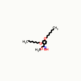 CCCCCCCCOc1ccc(C(COC)=NO)c(OCCCCCCCC)c1